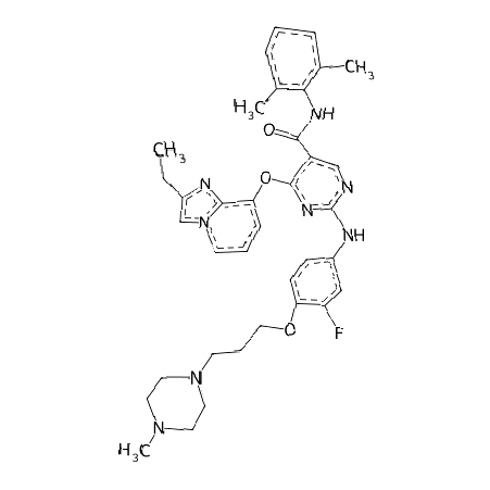 CCc1cn2cccc(Oc3nc(Nc4ccc(OCCCN5CCN(C)CC5)c(F)c4)ncc3C(=O)Nc3c(C)cccc3C)c2n1